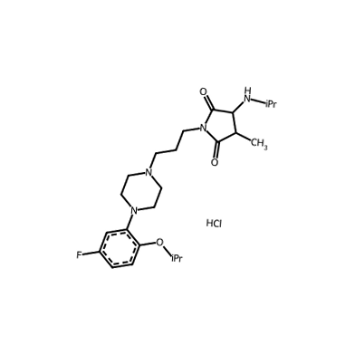 CC(C)NC1C(=O)N(CCCN2CCN(c3cc(F)ccc3OC(C)C)CC2)C(=O)C1C.Cl